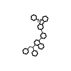 c1ccc(CC(c2ccccc2)c2ccc(-c3cccc(-c4ccc5c(c4)c4ccccc4n5-c4ccccc4)c3)c3ccccc23)cc1